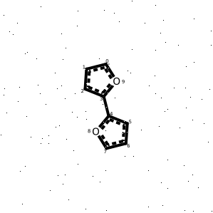 [c]1ccc(-c2ccco2)o1